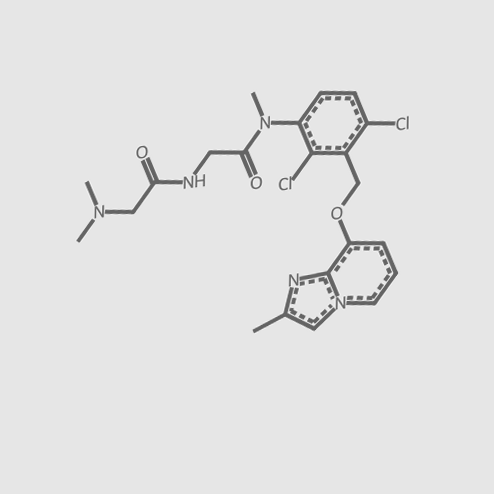 Cc1cn2cccc(OCc3c(Cl)ccc(N(C)C(=O)CNC(=O)CN(C)C)c3Cl)c2n1